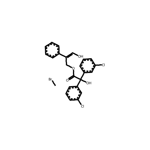 CBr.O=C(OCC(=CO)c1ccccc1)C(O)(c1cccc(Cl)c1)c1cccc(Cl)c1